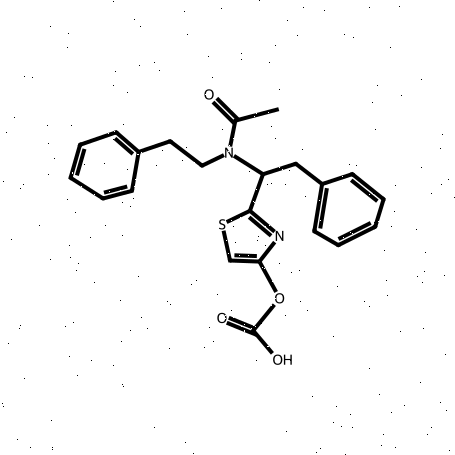 CC(=O)N(CCc1ccccc1)C(Cc1ccccc1)c1nc(OC(=O)O)cs1